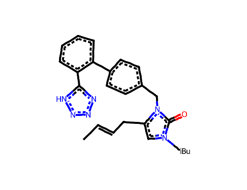 CC=CCc1cn(C(C)CC)c(=O)n1Cc1ccc(-c2ccccc2-c2nnn[nH]2)cc1